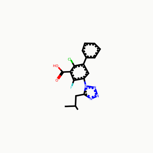 CC(C)Cc1nnnn1-c1cc(-c2ccccc2)c(Cl)c(C(=O)O)c1F